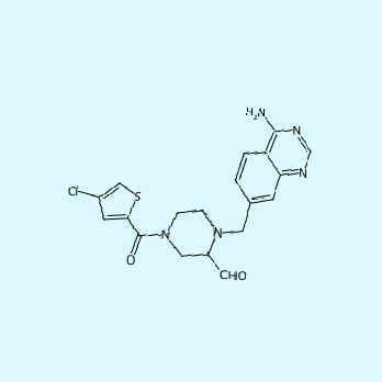 Nc1ncnc2cc(CN3CCN(C(=O)c4cc(Cl)cs4)CC3C=O)ccc12